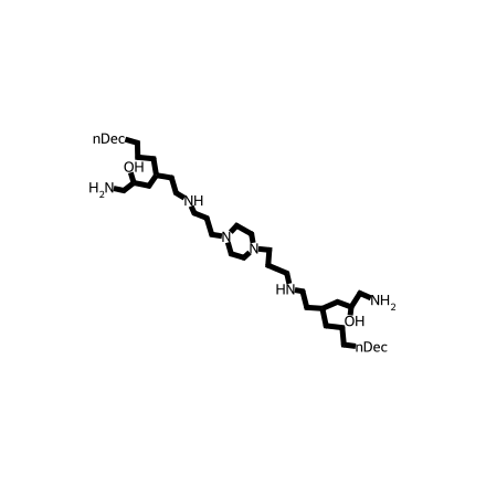 CCCCCCCCCCCCCC(CCNCCCN1CCN(CCCNCCC(CCCCCCCCCCCCC)CC(O)CN)CC1)CC(O)CN